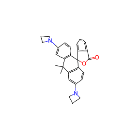 CC1(C)c2cc(N3CCC3)ccc2C2(OC(=O)c3ccccc32)c2ccc(N3CCC3)cc21